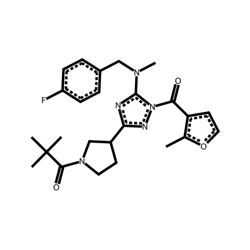 Cc1occc1C(=O)n1nc(C2CCN(C(=O)C(C)(C)C)C2)nc1N(C)Cc1ccc(F)cc1